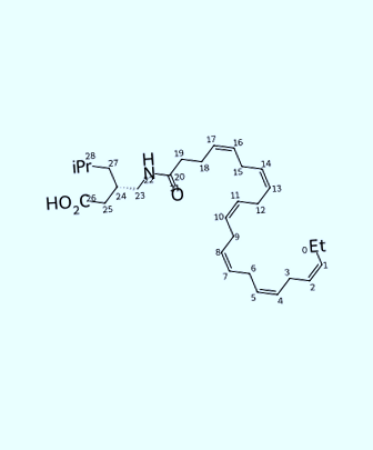 CC/C=C\C/C=C\C/C=C\C/C=C\C/C=C\C/C=C\CCC(=O)NC[C@H](CC(=O)O)CC(C)C